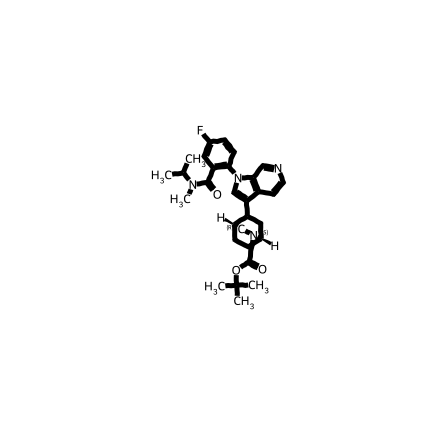 CC(C)N(C)C(=O)c1cc(F)ccc1-n1cc(C2C[C@@H]3CC[C@H]2CN3C(=O)OC(C)(C)C)c2ccncc21